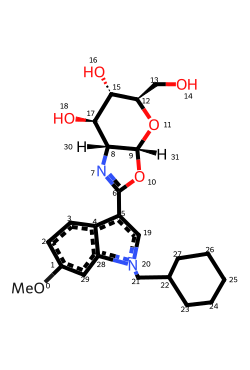 COc1ccc2c(C3=N[C@H]4[C@@H](O3)O[C@H](CO)[C@@H](O)[C@@H]4O)cn(CC3CCCCC3)c2c1